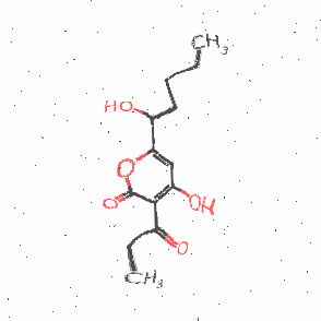 CCCCC(O)c1cc(O)c(C(=O)CC)c(=O)o1